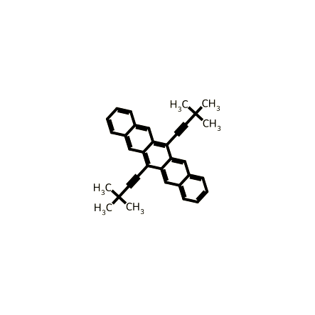 CC(C)(C)C#Cc1c2cc3ccccc3cc2c(C#CC(C)(C)C)c2cc3ccccc3cc12